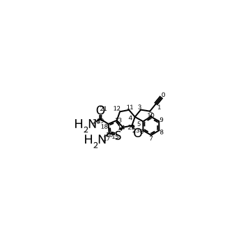 C#CCCC1(c2ccccc2)CCc2c(sc(N)c2C(N)=O)C1=O